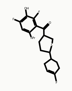 CCCc1cc(F)c(O)c(F)c1C(=O)C1CCC(C2CC=C(F)CC2)CC1